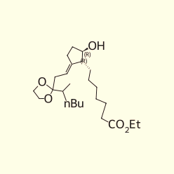 CCCCC(C)C1(CC=C2CC[C@@H](O)[C@@H]2CCCCCCC(=O)OCC)OCCO1